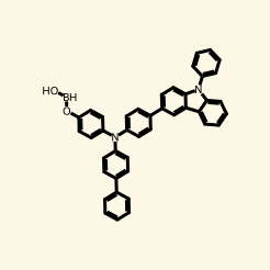 OBOc1ccc(N(c2ccc(-c3ccccc3)cc2)c2ccc(-c3ccc4c(c3)c3ccccc3n4-c3ccccc3)cc2)cc1